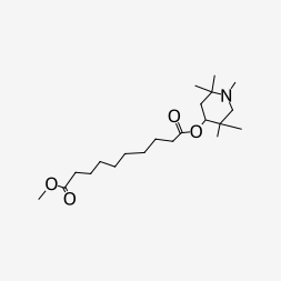 COC(=O)CCCCCCCCC(=O)OC1CC(C)(C)N(C)CC1(C)C